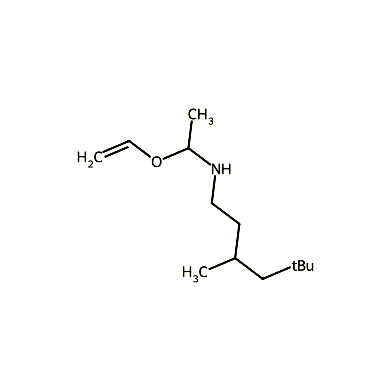 C=COC(C)NCCC(C)CC(C)(C)C